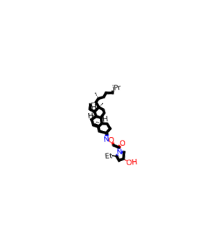 CC[C@@H]1C[C@@H](O)CN1C(=O)CO/N=C1\CC[C@@]2(C)C(=CC[C@H]3[C@@H]4CC[C@H]([C@H](C)CCCC(C)C)[C@@]4(C)CC[C@@H]32)C1